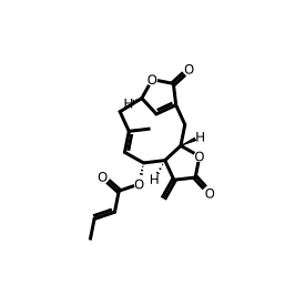 C=C1C(=O)O[C@H]2CC3=C[C@@H](C/C(C)=C/[C@@H](OC(=O)/C=C/C)[C@H]12)OC3=O